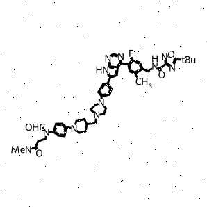 CNC(=O)CCN(C=O)c1ccc(N2CCC(CN3CCN(c4ccc(-c5cc6c(-c7cc(C)c(CNC(=O)c8noc(C(C)(C)C)n8)cc7F)ncnc6[nH]5)cc4)CC3)CC2)cc1